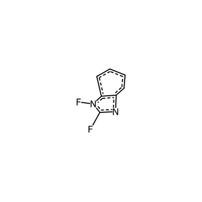 Fc1nc2ccccc2n1F